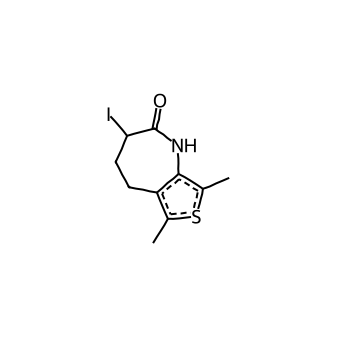 Cc1sc(C)c2c1CCC(I)C(=O)N2